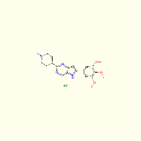 COc1cc(-c2cc3nc(C4CCN(C)CC4)ncc3[nH]2)cc(OC)c1OC.Cl